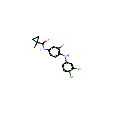 CC1(C(=O)Nc2ccc(Nc3ccc(Cl)c(Cl)c3)c(Cl)c2)CC1